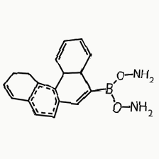 NOB(ON)C1=Cc2ccc3c(c2C2C=CC=CC12)CCC=C3